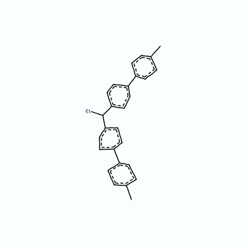 C[CH]C(c1ccc(-c2ccc(C)cc2)cc1)c1ccc(-c2ccc(C)cc2)cc1